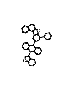 c1ccc(-c2cc(-c3c4ccccc4c(-c4coc5ccccc45)c4ccccc34)cc3c2oc2ccc4ccccc4c23)cc1